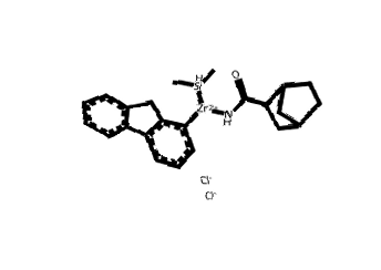 C[SiH](C)[Zr+2]([NH]C(=O)C1CC2CCC1C2)[c]1cccc2c1Cc1ccccc1-2.[Cl-].[Cl-]